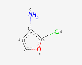 Nc1ccoc1Cl